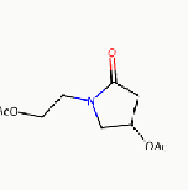 CC(=O)OCCN1CC(OC(C)=O)CC1=O